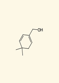 CC1(C)C=CC(CO)=CC1